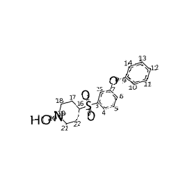 O=S(=O)(c1cccc(Oc2ccccc2)c1)C1CCN(O)CC1